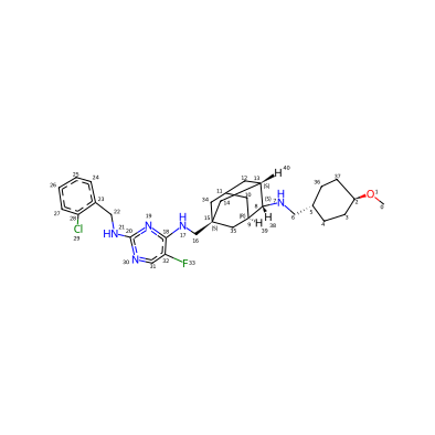 CO[C@H]1CC[C@H](CN[C@@H]2[C@@H]3CC4C[C@H]2C[C@@](CNc2nc(NCc5ccccc5Cl)ncc2F)(C4)C3)CC1